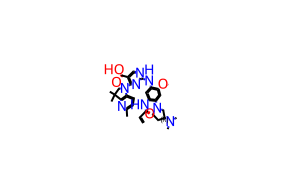 C=CC(=O)Nc1cc(Nc2ncc(C(=O)O)c(N3CC(C)(C)c4nc(C)ccc43)n2)c(OC)cc1N1CC[C@@H](N(C)C)C1